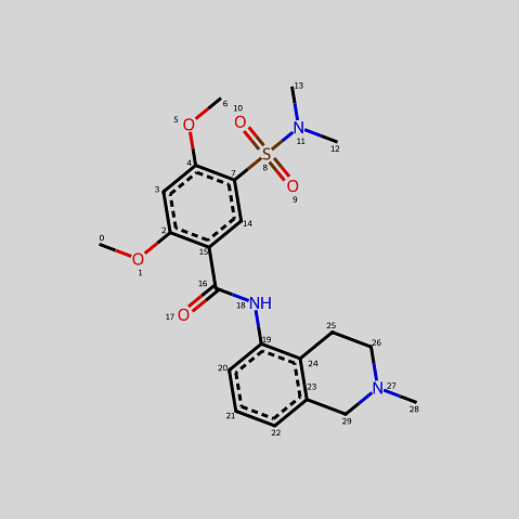 COc1cc(OC)c(S(=O)(=O)N(C)C)cc1C(=O)Nc1cccc2c1CCN(C)C2